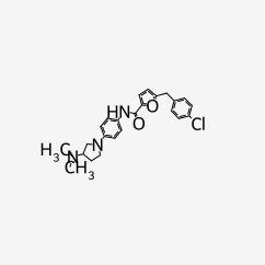 CN(C)C1CCN(c2ccc(NC(=O)c3ccc(Cc4ccc(Cl)cc4)o3)cc2)C1